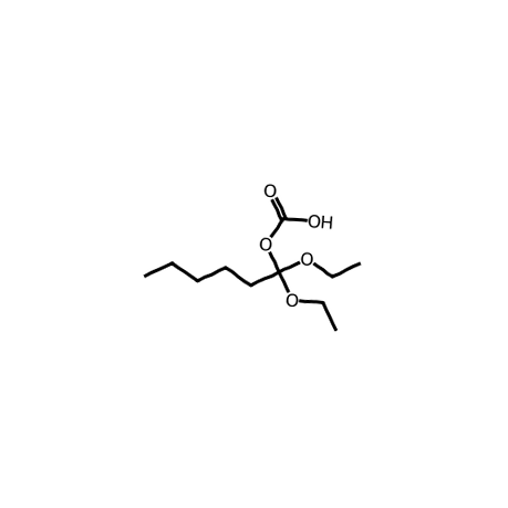 CCCCCC(OCC)(OCC)OC(=O)O